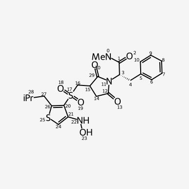 CNC(=O)[C@H](Cc1ccccc1)N1C(=O)CC(CS(=O)(=O)c2c(NO)csc2CC(C)C)C1=O